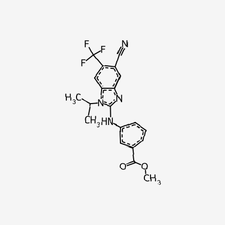 COC(=O)c1cccc(Nc2nc3cc(C#N)c(C(F)(F)F)cc3n2C(C)C)c1